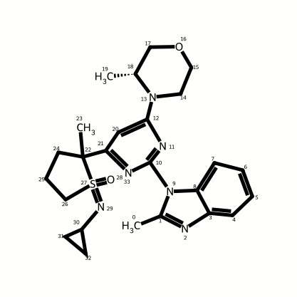 Cc1nc2ccccc2n1-c1nc(N2CCOC[C@H]2C)cc(C2(C)CCCS2(=O)=NC2CC2)n1